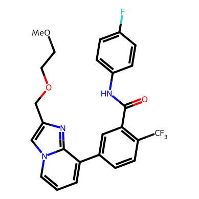 COCCOCc1cn2cccc(-c3ccc(C(F)(F)F)c(C(=O)Nc4ccc(F)cc4)c3)c2n1